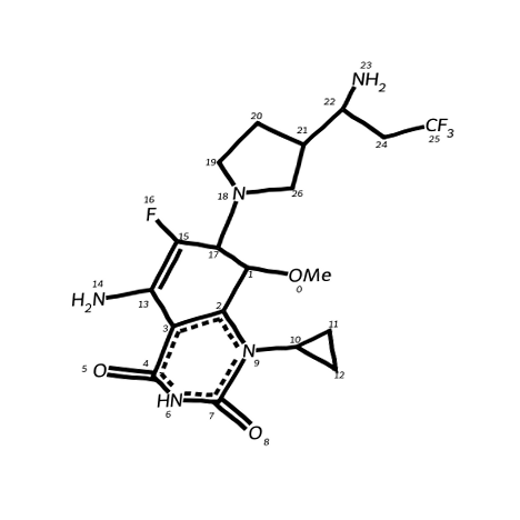 COC1c2c(c(=O)[nH]c(=O)n2C2CC2)C(N)=C(F)C1N1CCC(C(N)CC(F)(F)F)C1